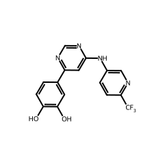 Oc1ccc(-c2cc(Nc3ccc(C(F)(F)F)nc3)ncn2)cc1O